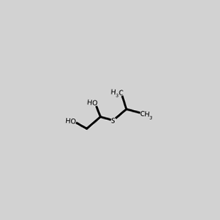 CC(C)SC(O)CO